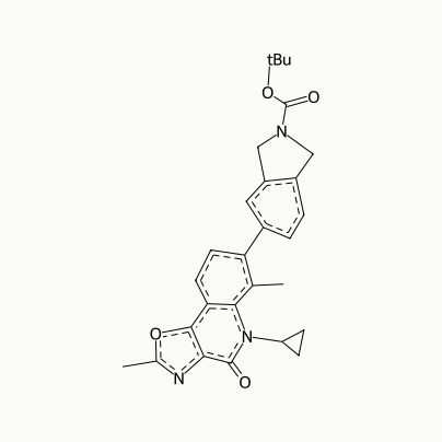 Cc1nc2c(=O)n(C3CC3)c3c(C)c(-c4ccc5c(c4)CN(C(=O)OC(C)(C)C)C5)ccc3c2o1